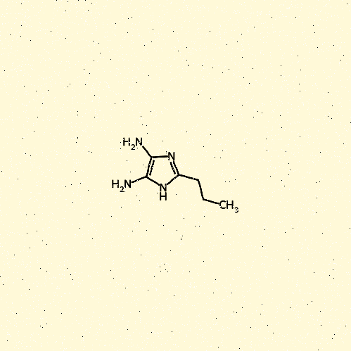 CCCc1nc(N)c(N)[nH]1